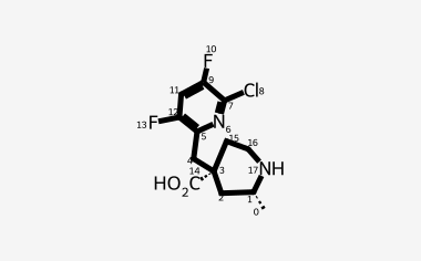 C[C@@H]1C[C@](Cc2nc(Cl)c(F)cc2F)(C(=O)O)CCN1